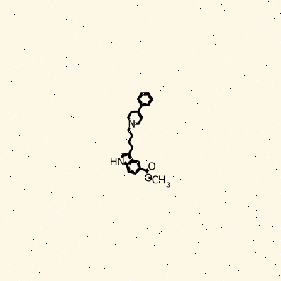 COC(=O)c1ccc2[nH]cc(CCCCN3CC=C(c4ccccc4)CC3)c2c1